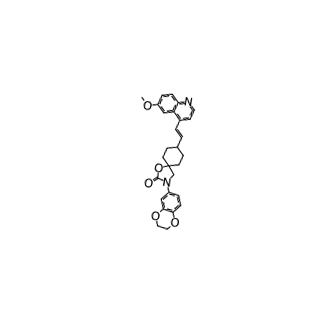 COc1ccc2nccc(/C=C/C3CCC4(CC3)CN(c3ccc5c(c3)OCCO5)C(=O)O4)c2c1